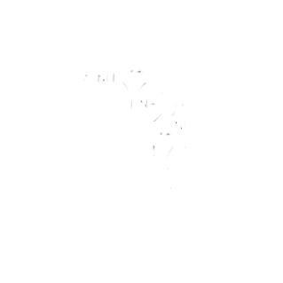 CC(=O)Nc1cccc(N[C@@H](C)c2cc3ccc(OCC4CC4)c(Cl)c3[nH]c2=O)c1